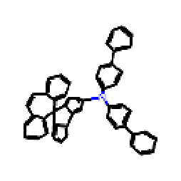 C1=Cc2ccccc2C2(c3ccccc31)c1ccccc1-c1cc(N(c3ccc(-c4ccccc4)cc3)c3ccc(-c4ccccc4)cc3)ccc12